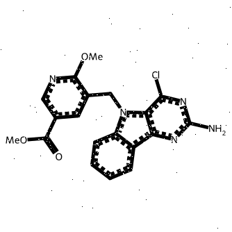 COC(=O)c1cnc(OC)c(Cn2c3ccccc3c3nc(N)nc(Cl)c32)c1